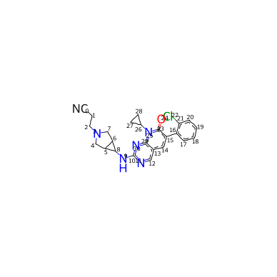 N#CCCN1CC2C(C1)C2Nc1ncc2cc(-c3ccccc3Cl)c(=O)n(C3CC3)c2n1